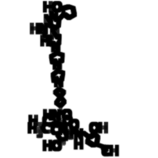 C#Cc1ccc(CNC(=O)[C@@H]2C[C@@H](O)CN2C(=O)[C@@H](NC(=O)[C@H]2CC3(C2)C[C@H](N2CCC(N4CCC(N5CCN6c7cc(-c8ccccc8O)nnc7NC[C@H]6C5)CC4)CC2)C3)C(C)(C)C)c(O)c1